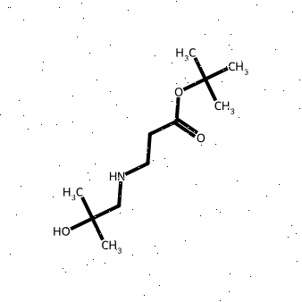 CC(C)(O)CNCCC(=O)OC(C)(C)C